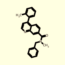 Cc1ccccc1-c1ccnc2cc(C(=O)N(C)Cc3ccccc3)ccc12